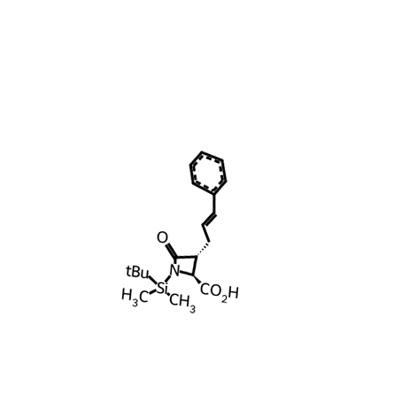 CC(C)(C)[Si](C)(C)N1C(=O)[C@H](CC=Cc2ccccc2)[C@H]1C(=O)O